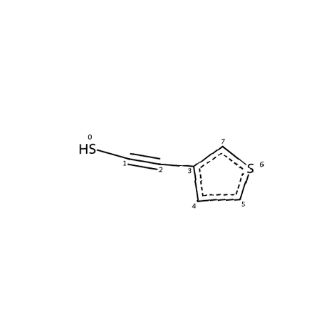 SC#Cc1ccsc1